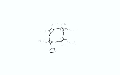 C=CC1=C(C)c2cc3[nH]c(cc4nc(cc5[nH]c(cc1n2)c(C)c5CCC(=O)O)C(CCC(=O)O)=C4C)c(C)c3C=C.c1ccncc1